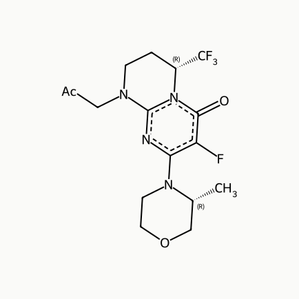 CC(=O)CN1CC[C@H](C(F)(F)F)n2c1nc(N1CCOC[C@H]1C)c(F)c2=O